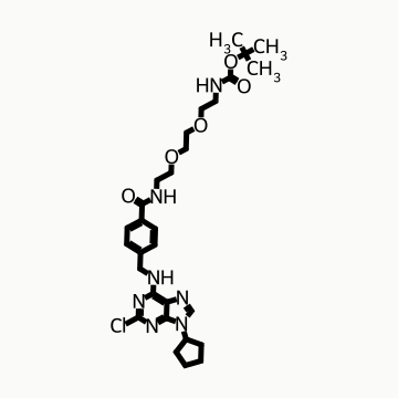 CC(C)(C)OC(=O)NCCOCCOCCNC(=O)c1ccc(CNc2nc(Cl)nc3c2ncn3C2CCCC2)cc1